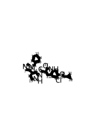 C[C@H](Nc1cc(-c2cncn2Cc2ccccc2)ccn1)c1cc2cc(Cl)c(OCC3CC3)cc2[nH]c1=O